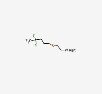 CCCCCCCCCSCCCC(F)(F)C(F)(F)F